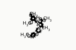 COC(=O)c1cc(C)c(N2CCC(Oc3ccc(OC)nc3)CC2)nc1NCc1ccc(OC)cc1OC